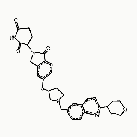 O=C1CCC(N2Cc3cc(O[C@H]4CCN(Cc5ccc6nc(C7CCOCC7)ccc6c5)C4)ccc3C2=O)C(=O)N1